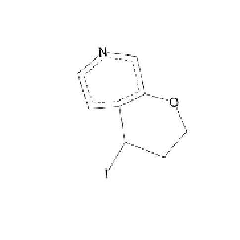 IC1CCOc2cnccc21